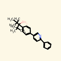 BC(c1ccc(-c2ccc(-c3ccccc3)nc2)cc1)(C(C)(C)C)C(C)(C)C